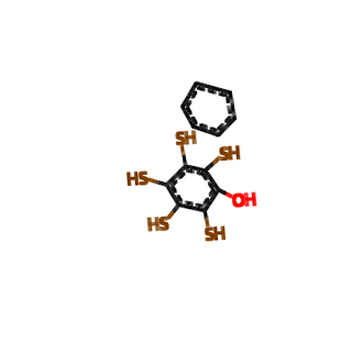 Oc1c(S)c(S)c(S)c(S)c1S.c1ccccc1